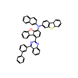 C1=CC2Sc3cc(N(c4ccc5ccccc5c4)c4ccc(-c5nc(-c6cccc(-c7ccccc7)c6)c6ccccc6n5)c5c4oc4ccccc45)ccc3C2C=C1